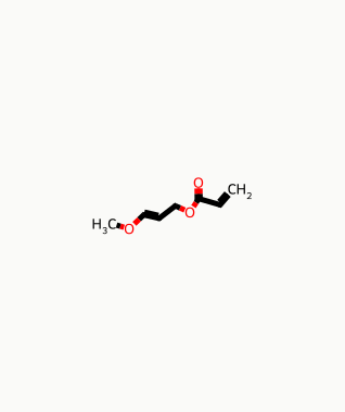 C=CC(=O)OCC=COC